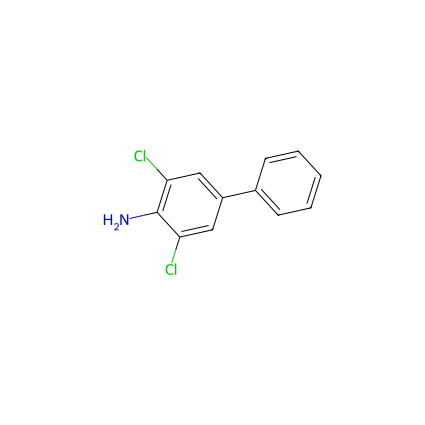 Nc1c(Cl)cc(-c2ccccc2)cc1Cl